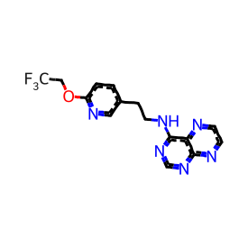 FC(F)(F)COc1ccc(CCNc2ncnc3nccnc23)cn1